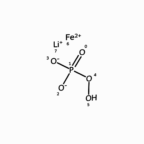 O=P([O-])([O-])OO.[Fe+2].[Li+]